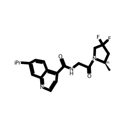 CC(C)c1ccc2c(C(=O)NCC(=O)N3CC(F)(F)C[C@H]3C)ccnc2c1